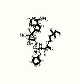 CCC(C)(C)CCOC(=O)[C@H](C)NP(=O)(OC[C@H]1O[C@@](C)(c2ccc3c(N)ncnn23)[C@H](O)[C@@H]1O)Oc1ccccc1